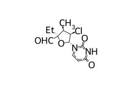 CC[C@@]1(C=O)O[C@@H](n2ccc(=O)[nH]c2=O)[C@H](Cl)[C@@H]1C